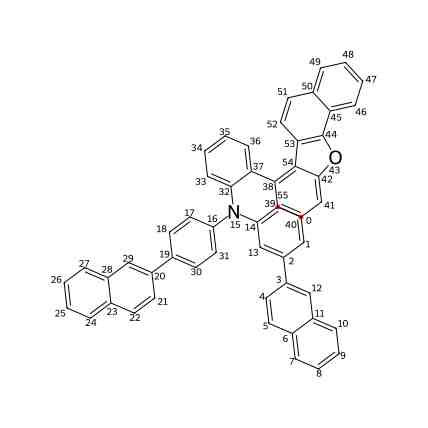 c1cc(-c2ccc3ccccc3c2)cc(N(c2ccc(-c3ccc4ccccc4c3)cc2)c2ccccc2-c2cccc3oc4c5ccccc5ccc4c23)c1